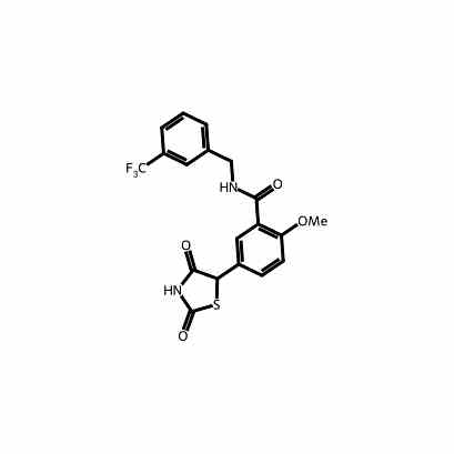 COc1ccc(C2SC(=O)NC2=O)cc1C(=O)NCc1cccc(C(F)(F)F)c1